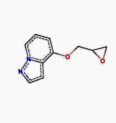 c1cc(OCC2CO2)c2ccnn2c1